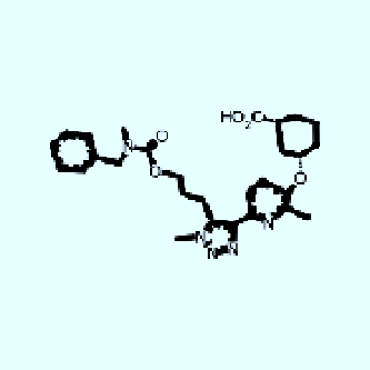 Cc1nc(-c2nnn(C)c2CCCOC(=O)N(C)Cc2ccccc2)ccc1O[C@H]1CCC[C@H](C(=O)O)C1